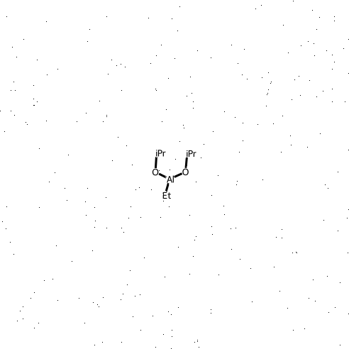 [CH2][CH2][Al]([O]C(C)C)[O]C(C)C